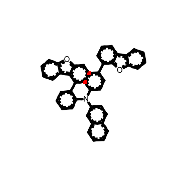 c1ccc(N(c2ccc(-c3cccc4c3oc3ccccc34)cc2)c2ccc3ccccc3c2)c(-c2cccc3oc4ccccc4c23)c1